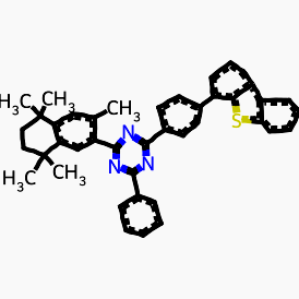 Cc1cc2c(cc1-c1nc(-c3ccccc3)nc(-c3ccc(-c4cccc5c4sc4ccccc45)cc3)n1)C(C)(C)CCC2(C)C